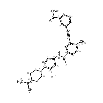 COC(=O)c1cncc(C#Cc2cc(C(=O)Nc3ccc(N4CCN(B(C)O)CC4)c(C(F)(F)F)c3)ccc2C)c1